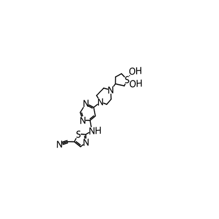 N#Cc1cnc(Nc2cc(N3CCN(C4CCS(O)(O)C4)CC3)ncn2)s1